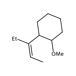 C/C=C(/CC)C1CCCCC1OC